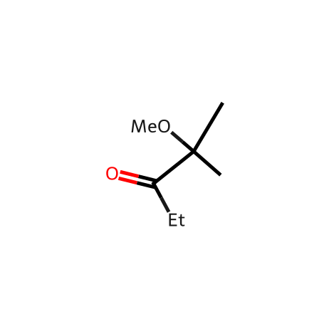 CCC(=O)C(C)(C)OC